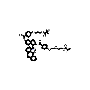 C=C(F)C(=O)OCCOCCOc1ccc(C(=O)Oc2ccc3cc(OC(CC)c4ccc(OCCCOC(=O)C(C)(C)F)cc4)ccc3c2/C=N/N=c2c3ccccc3ccc3ccccc23)cc1